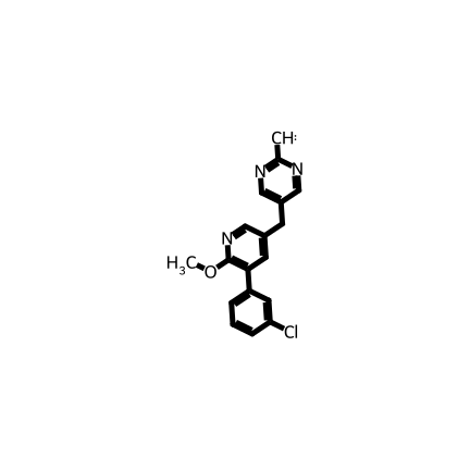 [CH]c1ncc(Cc2cnc(OC)c(-c3cccc(Cl)c3)c2)cn1